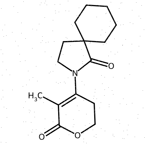 CC1=C(N2CCC3(CCCCC3)C2=O)CCOC1=O